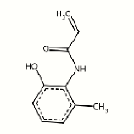 C=CC(=O)Nc1c(C)cccc1O